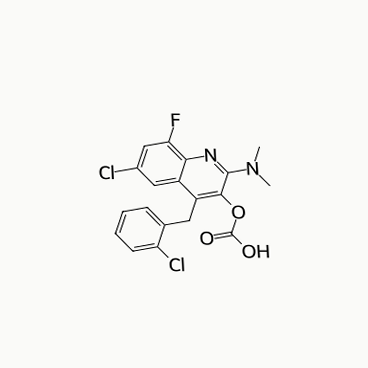 CN(C)c1nc2c(F)cc(Cl)cc2c(Cc2ccccc2Cl)c1OC(=O)O